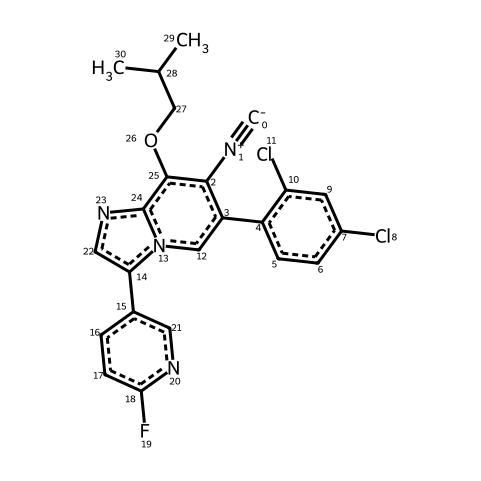 [C-]#[N+]c1c(-c2ccc(Cl)cc2Cl)cn2c(-c3ccc(F)nc3)cnc2c1OCC(C)C